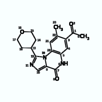 CC(=O)c1cc2[nH]c(=O)c3cnc(C4CCOCC4)n3c2cc1C